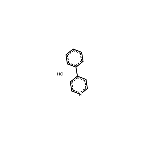 Cl.c1ccc(-c2ccncc2)cc1